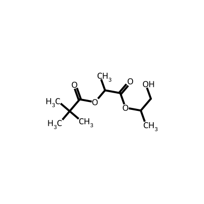 CC(CO)OC(=O)C(C)OC(=O)C(C)(C)C